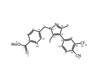 COC(=O)c1ccc(Cn2nc(C)c(-c3ccc(C#N)c(C(F)(F)F)c3)c2C)cn1